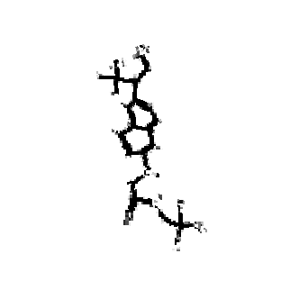 CCC(C)(C)C(CC(C)C)c1ccc2cc(OCC(=O)OCC(F)(F)C(F)(F)F)ccc2c1